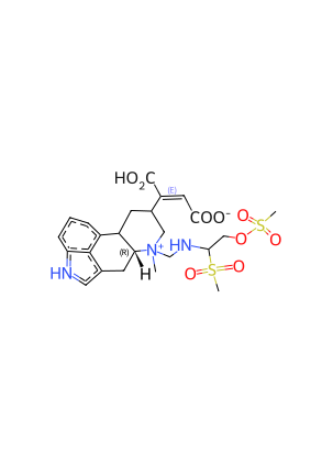 C[N+]1(CNC(COS(C)(=O)=O)S(C)(=O)=O)CC(/C(=C\C(=O)[O-])C(=O)O)CC2c3cccc4[nH]cc(c34)C[C@H]21